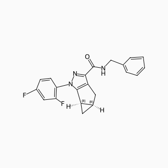 O=C(NCc1ccccc1)c1nn(-c2ccc(F)cc2F)c2c1C[C@H]1C[C@@H]21